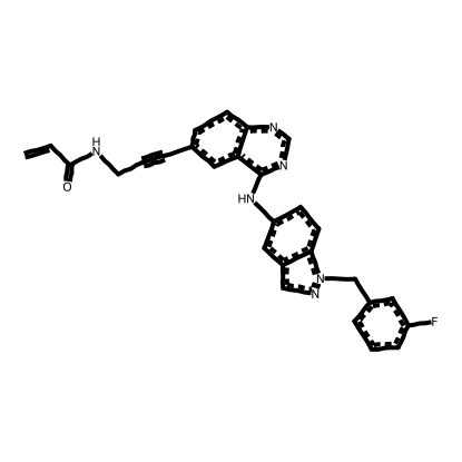 C=CC(=O)NCC#Cc1ccc2ncnc(Nc3ccc4c(cnn4Cc4cccc(F)c4)c3)c2c1